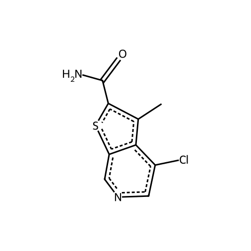 Cc1c(C(N)=O)sc2cncc(Cl)c12